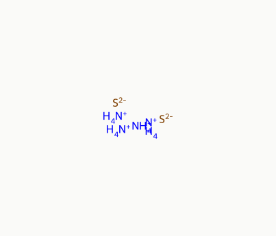 [NH4+].[NH4+].[NH4+].[NH4+].[S-2].[S-2]